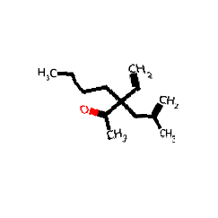 C=CC(CCCC)(CC(=C)C)C(C)=O